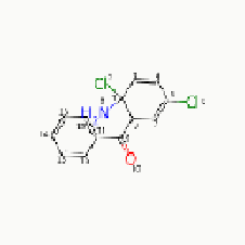 NC1(Cl)C=CC(Cl)=CC1C(=O)c1ccccc1